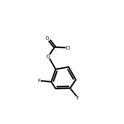 O=C(Cl)Oc1ccc(F)cc1F